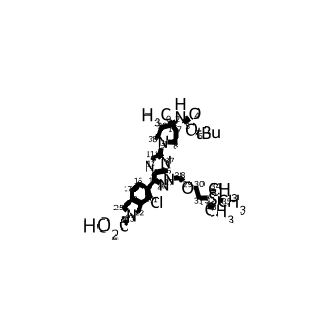 CC1(NC(=O)OC(C)(C)C)CCN(c2cnc3c(-c4ccc5c(c4Cl)CN(C(=O)O)C5)nn(COCC[Si](C)(C)C)c3n2)CC1